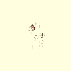 Cc1nc(C(F)(F)F)cn1C1(CO)C=CC(c2cc(F)cc(-n3nncc3-c3ccc(OC(F)(F)F)cc3)c2)C=C1S(C)(=O)=O